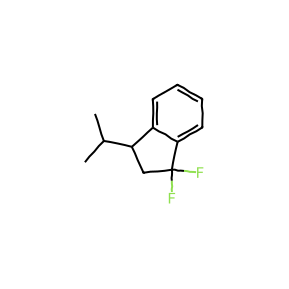 CC(C)C1CC(F)(F)c2ccccc21